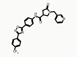 O=C(Nc1ccc(-c2nc(-c3ccc(C(F)(F)F)cc3)no2)cc1)C1CC(=O)N(Cc2cccnc2)C1